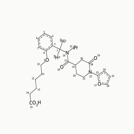 [2H]C([2H])(c1ccccc1OCCCCCC(=O)O)N(C(=O)C1CCN(c2ccco2)C(=O)C1)C(C)C